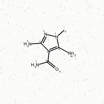 Cn1nc(N)c(C(N)=O)c1N